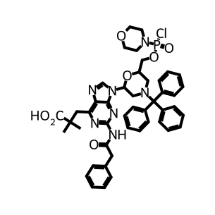 CC(C)(Cc1nc(NC(=O)Cc2ccccc2)nc2c1ncn2C1CN(C(c2ccccc2)(c2ccccc2)c2ccccc2)CC(COP(=O)(Cl)N2CCOCC2)O1)C(=O)O